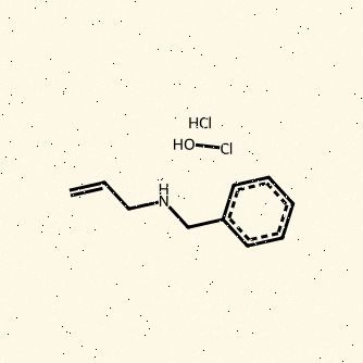 C=CCNCc1ccccc1.Cl.OCl